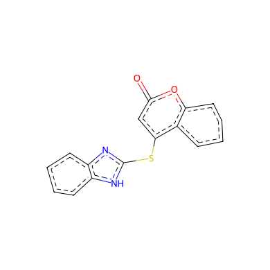 O=c1cc(Sc2nc3ccccc3[nH]2)c2ccccc2o1